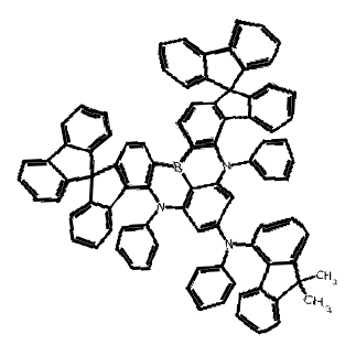 CC1(C)c2ccccc2-c2c(N(c3ccccc3)c3cc4c5c(c3)N(c3ccccc3)c3c(ccc6c3-c3ccccc3C63c6ccccc6-c6ccccc63)B5c3ccc5c(c3N4c3ccccc3)-c3ccccc3C53c4ccccc4-c4ccccc43)cccc21